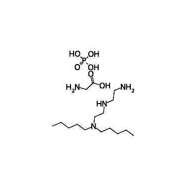 CCCCCN(CCCCC)CCNCCN.NCC(=O)O.O=P(O)(O)O